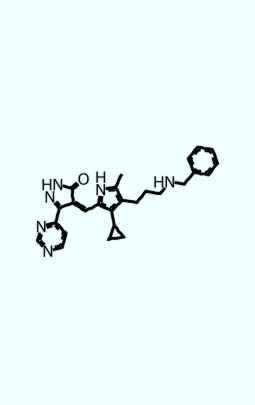 Cc1[nH]c(C=C2C(=O)NN=C2c2ccncn2)c(C2CC2)c1CCCNCc1ccccc1